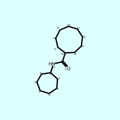 O=C(NC1CCCCCC1)C1CCCCCCCC1